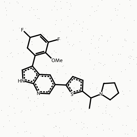 COC1=C(c2c[nH]c3ncc(-c4ccc(C(C)N5CCCC5)s4)cc23)CC(F)C=C1F